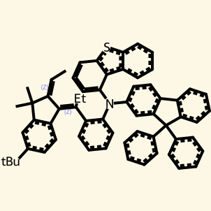 C/C=C1\C(=C(/CC)c2ccccc2N(C2=C=C=Cc3sc4ccccc4c32)c2ccc3c(c2)C(c2ccccc2)(c2ccccc2)c2ccccc2-3)c2ccc(C(C)(C)C)cc2C1(C)C